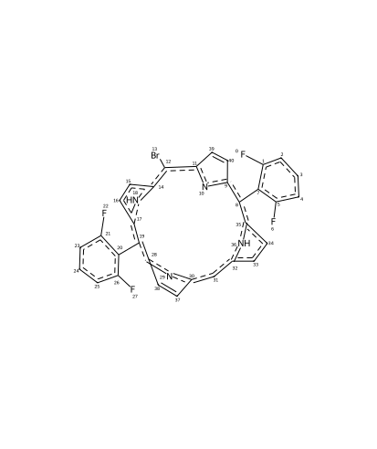 Fc1cccc(F)c1-c1c2nc(c(Br)c3ccc([nH]3)c(-c3c(F)cccc3F)c3nc(cc4ccc1[nH]4)C=C3)C=C2